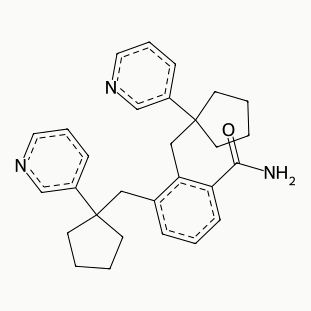 NC(=O)c1cccc(CC2(c3cccnc3)CCCC2)c1CC1(c2cccnc2)CCCC1